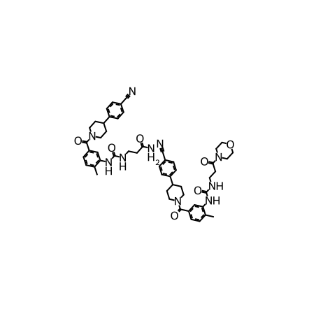 Cc1ccc(C(=O)N2CCC(c3ccc(C#N)cc3)CC2)cc1NC(=O)NCCC(=O)N1CCOCC1.Cc1ccc(C(=O)N2CCC(c3ccc(C#N)cc3)CC2)cc1NC(=O)NCCC(N)=O